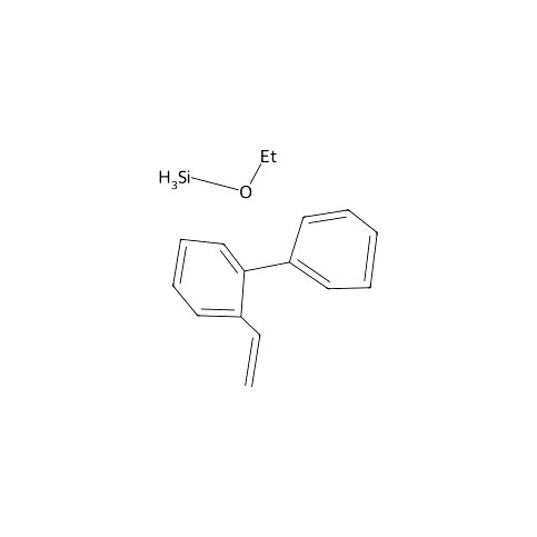 C=Cc1ccccc1-c1ccccc1.CCO[SiH3]